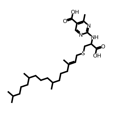 C/C(=C\CSCC(Nc1ncc(C(=O)O)c(C)n1)C(=O)O)CCCC(C)CCCC(C)CCCC(C)C